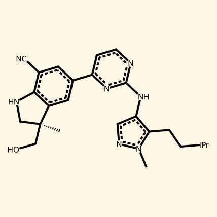 CC(C)CCc1c(Nc2nccc(-c3cc(C#N)c4c(c3)[C@@](C)(CO)CN4)n2)cnn1C